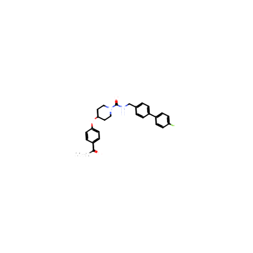 CNC(=O)c1ccc(OC2CCN(C(=O)NCc3ccc(-c4ccc(F)cc4)cc3)CC2)cc1